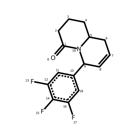 O=C1CCCC2CC=CC(c3cc(F)c(F)c(F)c3)N12